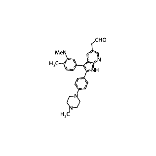 CNc1cc(-c2c(-c3ccc(N4CCN(C)CC4)cc3)[nH]c3ncc(CC=O)cc23)ccc1C